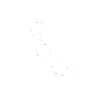 O=[N+]([O-])c1ccc(OC2CCN(c3ccncc3)CC2)nc1